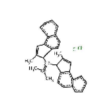 CC1=Cc2c(ccc3ccccc23)[CH]1[Zr+2]([CH]1C(C)=Cc2c1ccc1ccccc21)=[Ge]([CH3])[CH3].[Cl-].[Cl-]